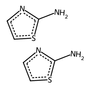 Nc1nccs1.Nc1nccs1